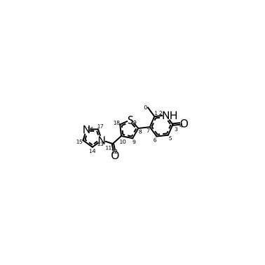 Cc1[nH]c(=O)ccc1-c1cc(C(=O)n2ccnc2)cs1